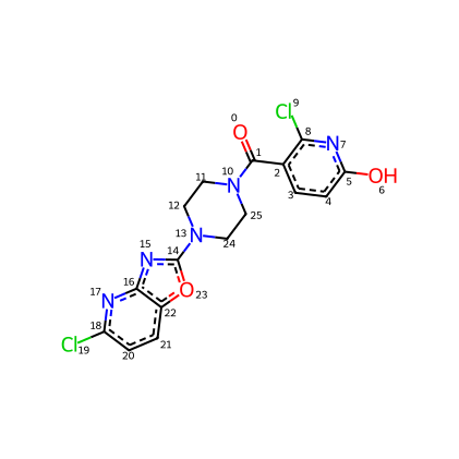 O=C(c1ccc(O)nc1Cl)N1CCN(c2nc3nc(Cl)ccc3o2)CC1